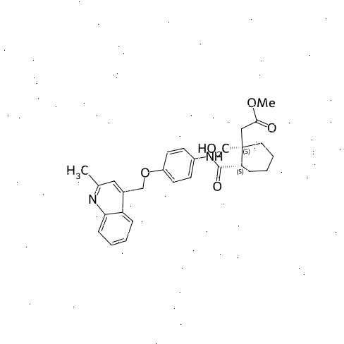 COC(=O)C[C@@]1(C(=O)O)CCCC[C@@H]1C(=O)Nc1ccc(OCc2cc(C)nc3ccccc23)cc1